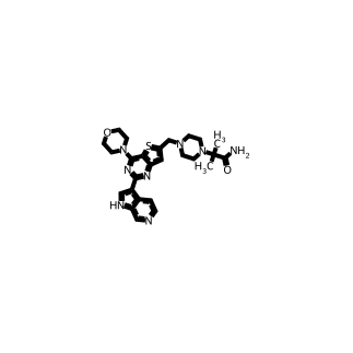 CC(C)(C(N)=O)N1CCN(Cc2cc3nc(-c4c[nH]c5cnccc45)nc(N4CCOCC4)c3s2)CC1